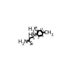 Cc1ccc(NCCC(N)=S)c(C)c1